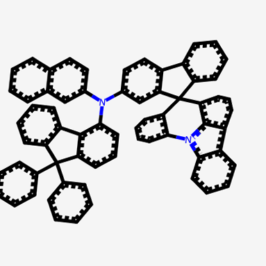 c1ccc(C2(c3ccccc3)c3ccccc3-c3c(N(c4ccc5c(c4)C4(c6ccccc6-5)c5ccccc5-n5c6ccccc6c6cccc4c65)c4ccc5ccccc5c4)cccc32)cc1